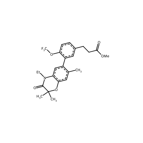 CCN1C(=O)C(C)(C)Oc2cc(C)c(-c3cc(CCC(=O)OC)ccc3OC(F)(F)F)cc21